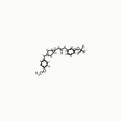 COc1ccc(CN2CC3C(CNCc4cccc(OC(F)(F)F)c4)C3C2)cc1